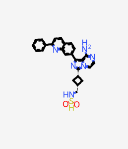 Nc1nccn2c1c(-c1ccc3ccc(-c4ccccc4)nc3c1)nc2[C@H]1C[C@@H](CN[SH](=O)=O)C1